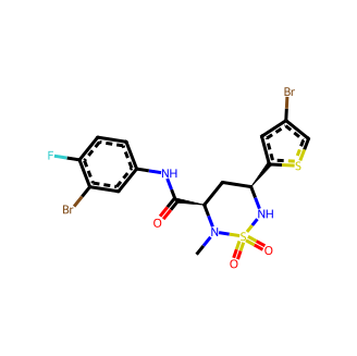 CN1[C@@H](C(=O)Nc2ccc(F)c(Br)c2)C[C@@H](c2cc(Br)cs2)NS1(=O)=O